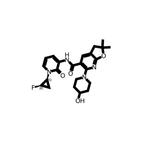 CC1(C)Cc2cc(C(=O)Nc3cccn([C@H]4C[C@H]4F)c3=O)c(N3CCC(O)CC3)nc2O1